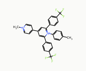 Cc1ccc(-[n+]2c(-c3ccc(C(F)(F)F)cc3)cc(-c3cc[n+](C)cc3)cc2-c2ccc(C(F)(F)F)cc2)cc1